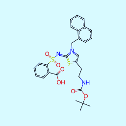 CC(C)(C)OC(=O)NCCc1cn(Cc2cccc3ccccc23)c(=NS(=O)(=O)c2ccccc2C(=O)O)s1